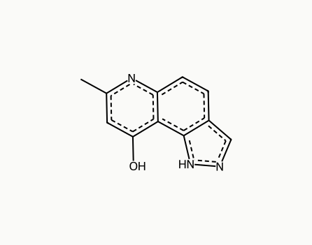 Cc1cc(O)c2c(ccc3cn[nH]c32)n1